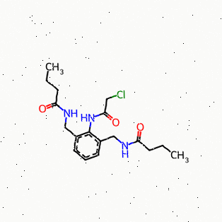 CCCC(=O)NCc1cccc(CNC(=O)CCC)c1NC(=O)CCl